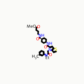 CCN(C(=O)Cn1c(C(=O)N[C@H]2CC[C@H](C(=O)NCCCC(=O)OC)CC2)cc2sccc21)c1cccc(C)c1